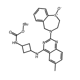 Cc1ccc2nc(N3CC[S+]([O-])c4ccccc4C3)nc(NC3CC(NC(=O)OC(C)(C)C)C3)c2c1